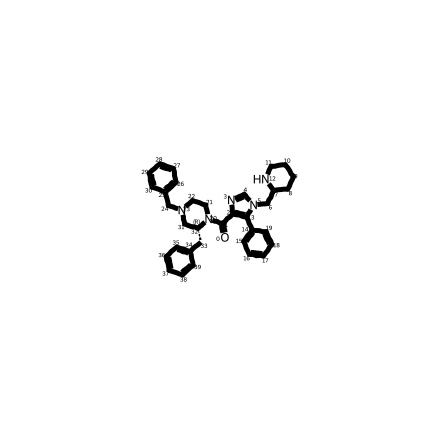 O=C(c1ncn(CC2CCCCN2)c1-c1ccccc1)N1CCN(Cc2ccccc2)C[C@H]1Cc1ccccc1